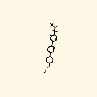 CCOCC1CCC(c2ccc(-c3ccc(C(F)(F)C(F)C(F)(F)F)c(F)c3)cc2)CC1